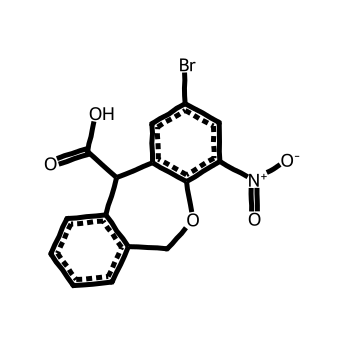 O=C(O)C1c2ccccc2COc2c1cc(Br)cc2[N+](=O)[O-]